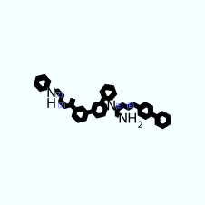 C=C(/C=C\C=C/Nc1ccccc1)c1cccc(C2=Cc3c(n(/C(=C/C=C/c4ccc(C5=CCCCC5)cc4)CN)c4ccccc34)CC2)c1